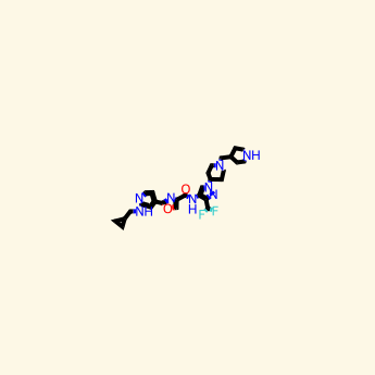 O=C(Nc1cn(C2CCN(CC3CCNCC3)CC2)nc1C(F)F)c1coc(-c2ccnc(NCC3CC3)c2)n1